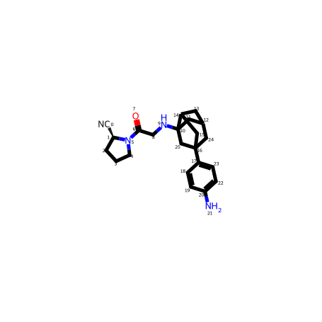 N#C[C@@H]1CCCN1C(=O)CNC12CC3CC1CC(c1ccc(N)cc1)(C3)C2